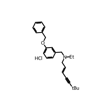 CCN(C/C=C/C#CC(C)(C)C)Cc1cccc(OCc2ccccc2)c1.Cl